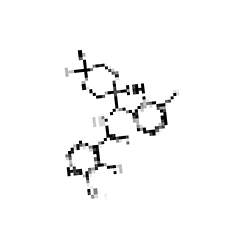 O=C(NC(c1cccc(F)n1)C1(O)CCC(F)(F)CC1)c1ccnc(C(F)(F)F)c1Cl